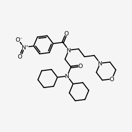 O=C(c1ccc([N+](=O)[O-])cc1)N(CCCN1CCOCC1)CC(=O)N(C1CCCCC1)C1CCCCC1